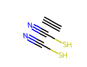 C#C.N#CS.N#CS